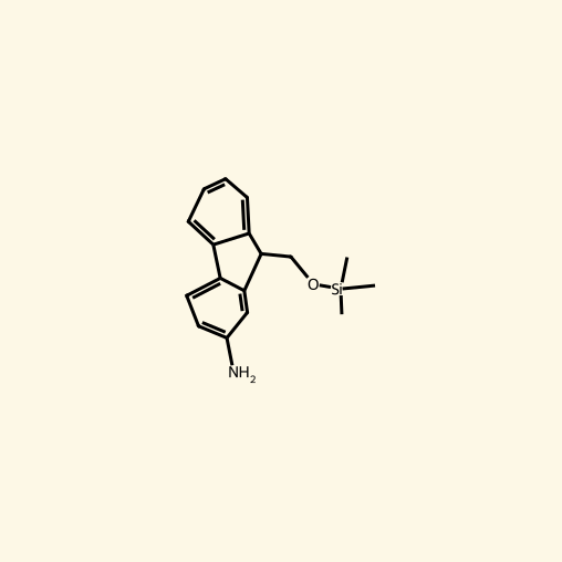 C[Si](C)(C)OCC1c2ccccc2-c2ccc(N)cc21